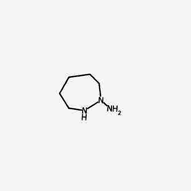 NN1CCCCCN1